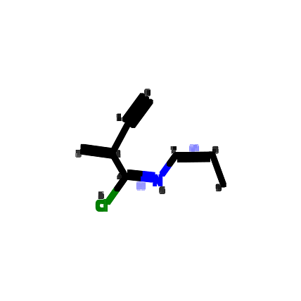 C#CC(=C)/C(Cl)=N\C=C/C